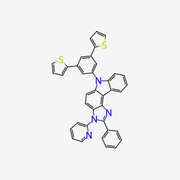 c1ccc(-c2nc3c4c5ccccc5n(-c5cc(-c6cccs6)cc(-c6cccs6)c5)c4ccc3n2-c2ccccn2)cc1